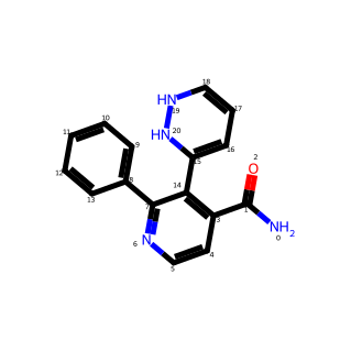 NC(=O)c1ccnc(-c2ccccc2)c1C1=CC=CNN1